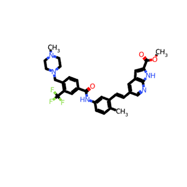 COC(=O)c1cc2cc(C=Cc3cc(NC(=O)c4ccc(CN5CCN(C)CC5)c(C(F)(F)F)c4)ccc3C)cnc2[nH]1